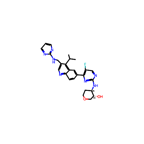 CC(C)c1c(CNc2ncccn2)cnc2ccc(-c3nc(N[C@@H]4CCOC[C@H]4O)ncc3F)cc12